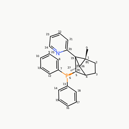 C[C@]12CCC3[C@@H](P(c4ccccc4)c4ccccc4)C1(c1ccccn1)[C@]32C